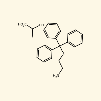 CC(O)C(=O)O.NCCSC(c1ccccc1)(c1ccccc1)c1ccccc1